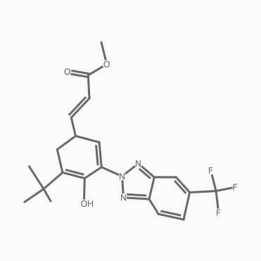 COC(=O)C=CC1C=C(n2nc3ccc(C(F)(F)F)cc3n2)C(O)=C(C(C)(C)C)C1